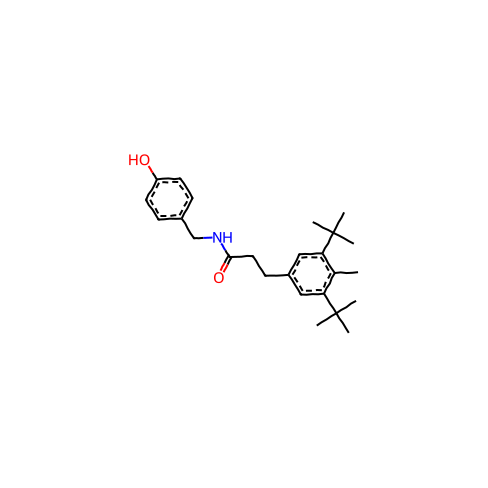 Cc1c(C(C)(C)C)cc(CCC(=O)NCc2ccc(O)cc2)cc1C(C)(C)C